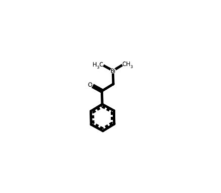 [CH3][Bi]([CH3])[CH2]C(=O)c1ccccc1